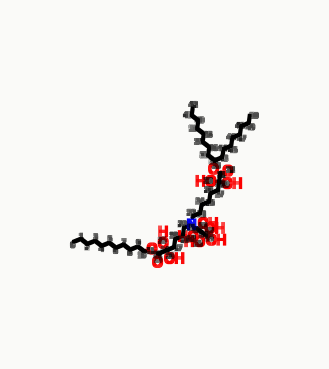 CCCCCCCCCCCOC(=O)C(O)(O)CCCCN(CCCCCCC(O)(O)C(=O)OC(CCCCCCCC)CCCCCCCC)C(O)(O)C(O)(O)O